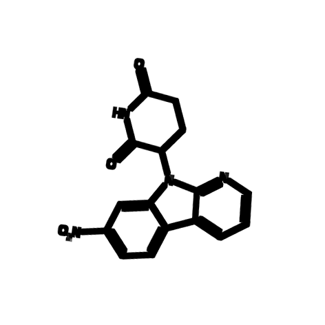 O=C1CCC(n2c3cc([N+](=O)[O-])ccc3c3cccnc32)C(=O)N1